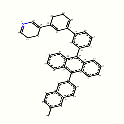 Cc1ccc2cc(-c3c4ccccc4c(-c4cccc(C5=CCCC(C6=CN=CCC6)=C5)c4)c4ccccc34)ccc2c1